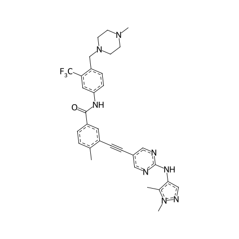 Cc1ccc(C(=O)Nc2ccc(CN3CCN(C)CC3)c(C(F)(F)F)c2)cc1C#Cc1cnc(Nc2cnn(C)c2C)nc1